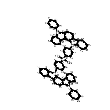 O=S(=O)(c1ccc(-n2c3ccccc3c3ccc4c(c5ccccc5n4-c4ccccc4)c32)cc1)c1ccc(-n2c3ccccc3c3ccc4c(c5ccccc5n4-c4ccccc4)c32)cc1